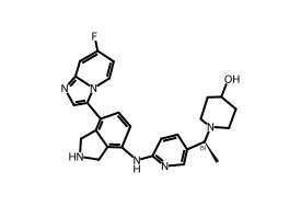 C[C@@H](c1ccc(Nc2ccc(-c3cnc4cc(F)ccn34)c3c2CNC3)nc1)N1CCC(O)CC1